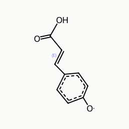 [O]c1ccc(/C=C/C(=O)O)cc1